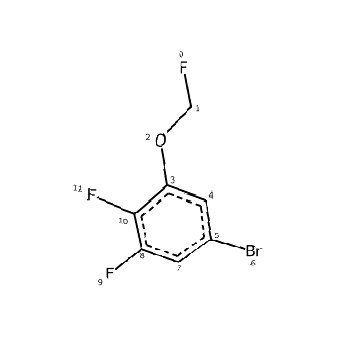 FCOc1cc(Br)cc(F)c1F